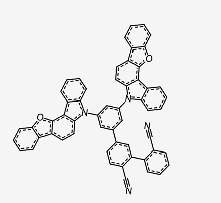 N#Cc1ccccc1-c1cc(-c2cc(-n3c4ccccc4c4c5oc6ccccc6c5ccc43)cc(-n3c4ccccc4c4c5oc6ccccc6c5ccc43)c2)ccc1C#N